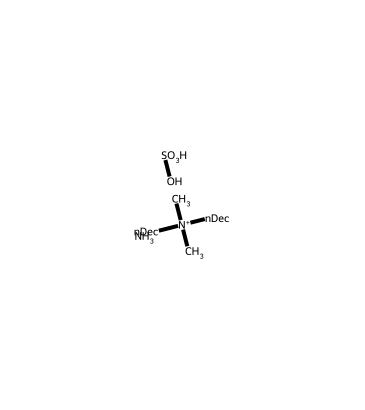 CCCCCCCCCC[N+](C)(C)CCCCCCCCCC.N.O=S(=O)(O)O